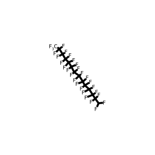 F[C](F)C(F)(F)C(F)(F)C(F)(F)C(F)(F)C(F)(F)C(F)(F)C(F)(F)C(F)(F)C(F)(F)C(F)(F)C(F)(F)C(F)(F)C(F)(F)F